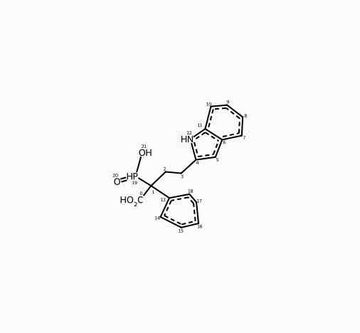 O=C(O)C(CCc1cc2ccccc2[nH]1)(c1ccccc1)[PH](=O)O